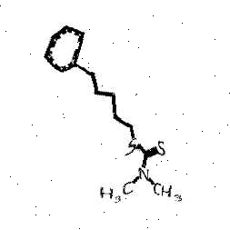 CN(C)C(=S)SCCCCCc1ccccc1